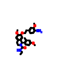 CCNC(=O)N1CCc2cc(OC)c(OCCc3ccc(N)c(OC)c3)cc2C1c1ccc(OC)cc1C